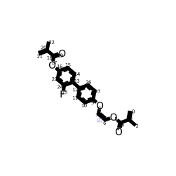 C=C(C)C(=O)O/C=C\Oc1ccc(-c2ccc(OC(=O)C(=C)C)cc2F)cc1